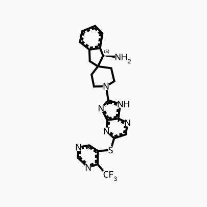 N[C@@H]1c2ccccc2CC12CCN(c1nc3nc(Sc4cncnc4C(F)(F)F)cnc3[nH]1)CC2